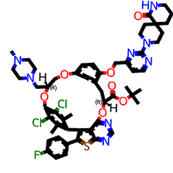 Cc1c(Cl)c2c(Cl)c(C)c1-c1c(-c3ccc(F)cc3)sc3ncnc(c13)O[C@@H](C(=O)OC(C)(C)C)Cc1cc(ccc1OCc1ccnc(N3CCC4(CCCNC4=O)CC3)n1)OC[C@@H](CN1CCN(C)CC1)O2